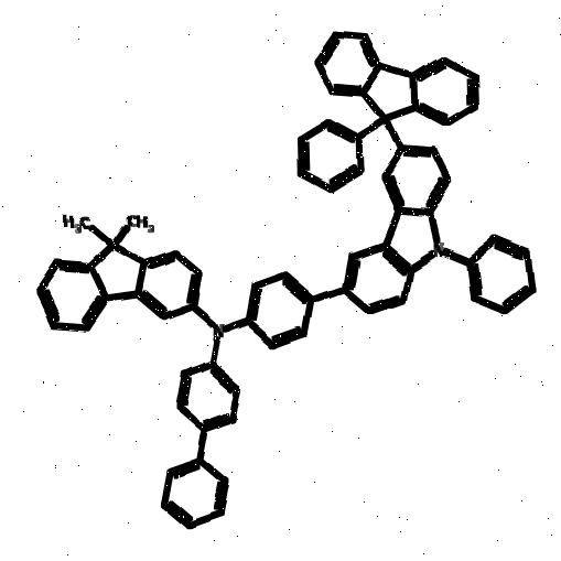 CC1(C)c2ccccc2-c2cc(N(c3ccc(-c4ccccc4)cc3)c3ccc(-c4ccc5c(c4)c4cc(C6(c7ccccc7)c7ccccc7-c7ccccc76)ccc4n5-c4ccccc4)cc3)ccc21